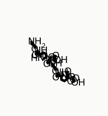 NCCONC(=O)C1CCC(N(OS(=O)(=O)O)C(=O)NCCONC(=O)C2CCC3CN2C(=O)N3OS(=O)(=O)O)CN1